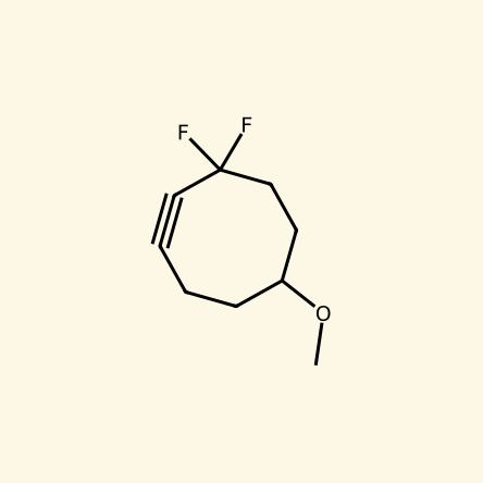 COC1CCC#CC(F)(F)CC1